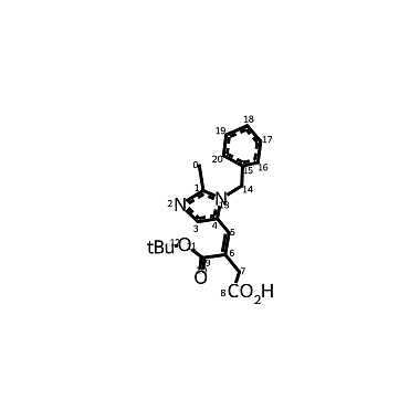 Cc1ncc(C=C(CC(=O)O)C(=O)OC(C)(C)C)n1Cc1ccccc1